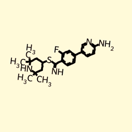 CC1(C)CC(SC(=N)c2ccc(-c3ccc(N)nc3)cc2F)CC(C)(C)N1